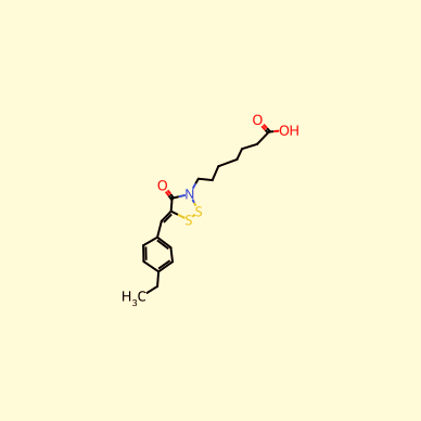 CCc1ccc(/C=C2\SSN(CCCCCCC(=O)O)C2=O)cc1